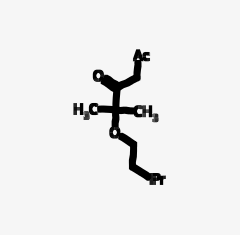 CC(=O)CC(=O)C(C)(C)OCCC(C)C